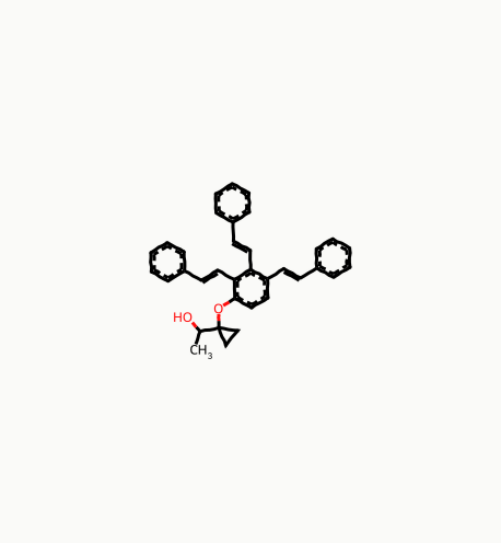 CC(O)C1(Oc2ccc(C=Cc3ccccc3)c(C=Cc3ccccc3)c2C=Cc2ccccc2)CC1